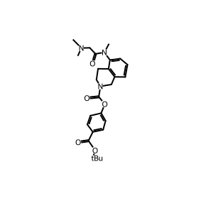 CN(C)CC(=O)N(C)c1cccc2c1CCN(C(=O)Oc1ccc(C(=O)OC(C)(C)C)cc1)C2